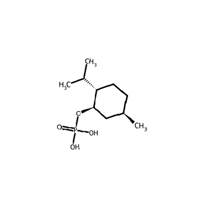 CC(C)[C@@H]1CC[C@@H](C)C[C@H]1OP(=O)(O)O